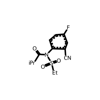 CCS(=O)(=O)N(C(=O)C(C)C)c1c[c]c(F)cc1C#N